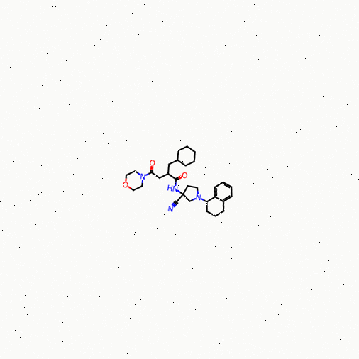 N#CC1(NC(=O)C(CC(=O)N2CCOCC2)CC2CCCCC2)CCN(C2CCCc3ccccc32)C1